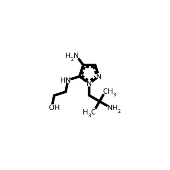 CC(C)(N)Cn1ncc(N)c1NCCO